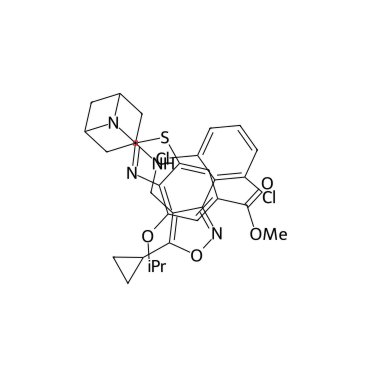 COC(=O)c1cc(OC(C)C)c2nc(N3C4CC(NCc5c(-c6c(Cl)cccc6Cl)noc5C5CC5)CC3C4)sc2c1